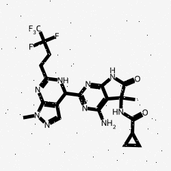 Cn1ncc2c1N=C(CCC(F)(F)C(F)(F)F)NC2c1nc(N)c2c(n1)NC(=O)C2(C)NC(=O)C1CC1